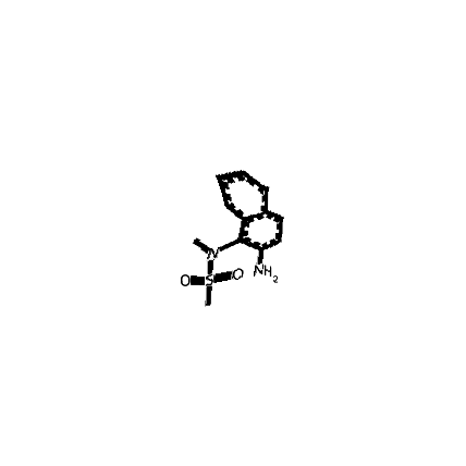 CN(c1c(N)ccc2ccccc12)S(C)(=O)=O